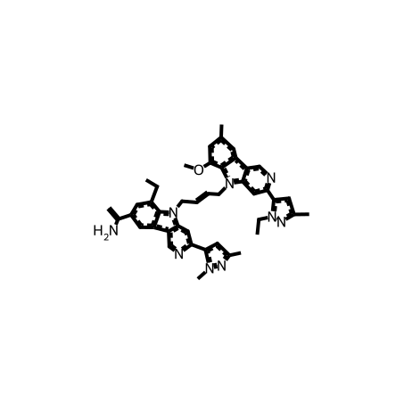 C=C(N)c1cc(CC)c2c(c1)c1cnc(-c3cc(C)nn3C)cc1n2C/C=C/Cn1c2cc(-c3cc(C)nn3CC)ncc2c2cc(C)cc(OC)c21